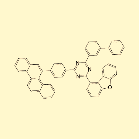 c1ccc(-c2cccc(-c3nc(-c4ccc(-c5cc6ccccc6c6ccc7ccccc7c56)cc4)nc(-c4cccc5oc6ccccc6c45)n3)c2)cc1